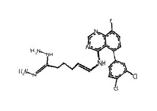 N/N=C(/CCC/C=C/Nc1ncnc2c(F)ccc(-c3ccc(Cl)c(Cl)c3)c12)NN